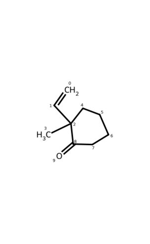 C=CC1(C)CCCCC1=O